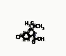 CC(C)N(I)/C=C(/C(=O)O)c1ccc(Cl)cc1